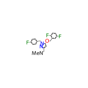 CNCc1cc(OCc2cc(F)ccc2F)n(Cc2ccc(F)cc2)n1